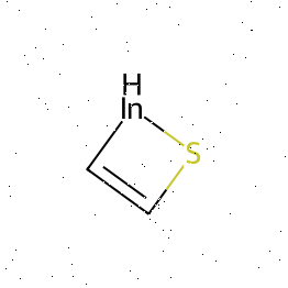 C1=[CH][InH][S]1